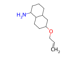 C=CCOC1CCC2C(N)CCCC2C1